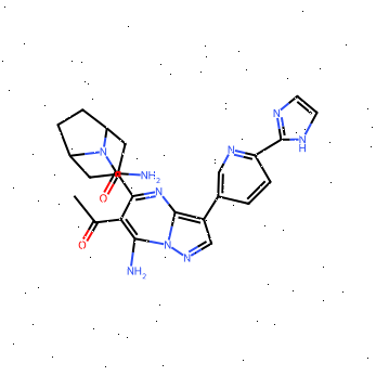 CC(=O)c1c(C2CC3CCC(C2)N3C(N)=O)nc2c(-c3ccc(-c4ncc[nH]4)nc3)cnn2c1N